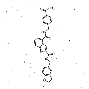 O=C(O)c1ccc(CNC(=O)c2cccc3nc(C(=O)NCc4ccc5c(c4)CCO5)cn23)cc1